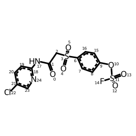 O=C(CS(=O)(=O)c1ccc(OS(=O)(=O)F)cc1)Nc1ccc(Cl)cn1